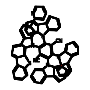 N#Cc1c(-n2c3ccccc3c3ccccc32)c(-n2c3ccccc3c3ccccc32)c(C#N)c(-n2c3cc(-c4ccccn4)ccc3c3ccc4c5ccccc5sc4c32)c1-n1c2ccccc2c2ccccc21